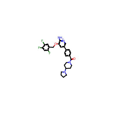 Nc1ncc(-c2ccc(C(=O)N3CCC(N4CCCC4)CC3)cc2)cc1OCc1cc(F)c(F)cc1F